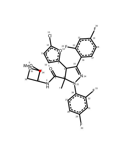 COCC1(NC(=O)C2(C)C(c3ccc(Cl)o3)C(c3ccc(F)cc3F)=NN2c2ccc(F)cc2F)COC1